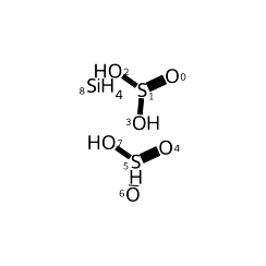 O=S(O)O.O=[SH](=O)O.[SiH4]